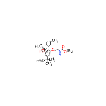 C=C(C)[C@@H]1CCC(C)=CC1c1c(O)cc(C(C)(C)CCCCCC)cc1OCCNC(=O)OC(C)(C)C